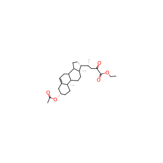 CCOC(=O)C(=O)C[C@@H](C)[C@H]1CCC2C3CC=C4C[C@@H](OC(C)=O)CC[C@]4(C)C3CC[C@@]21C